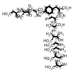 CC(C)C[C@H](N)C(=O)O.CC(C)[C@H](N)C(=O)O.CC[C@H](C)[C@H](N)C(=O)O.C[C@@H](O)[C@H](N)C(=O)O.C[C@@H](O)[C@H](N)C(=O)O.NCC(=O)O.NCC(=O)O.N[C@@H](CC(=O)O)C(=O)O.N[C@@H](CO)C(=O)O.N[C@@H](CS)C(=O)O.N[C@@H](Cc1ccc(O)cc1)C(=O)O